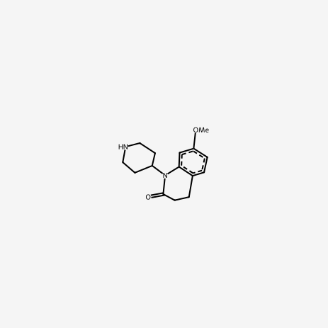 COc1ccc2c(c1)N(C1CCNCC1)C(=O)CC2